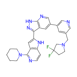 FC1(F)CCN(Cc2cncc(-c3cnc4[nH]nc(-c5cc6c(N7CCCCC7)nccc6[nH]5)c4c3)c2)C1